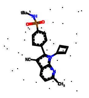 Cc1ccc2c(C#N)c(-c3ccc(S(=O)(=O)NC(C)(C)C)cc3)n(C3=CC=C3)c2n1